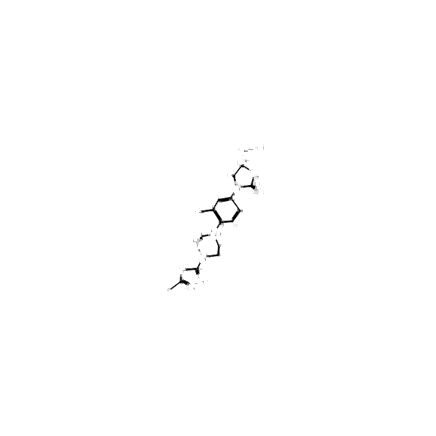 Cc1nnc(N2CCN(c3ccc(N4C[C@H](CO)OC4=O)cc3F)C=N2)s1